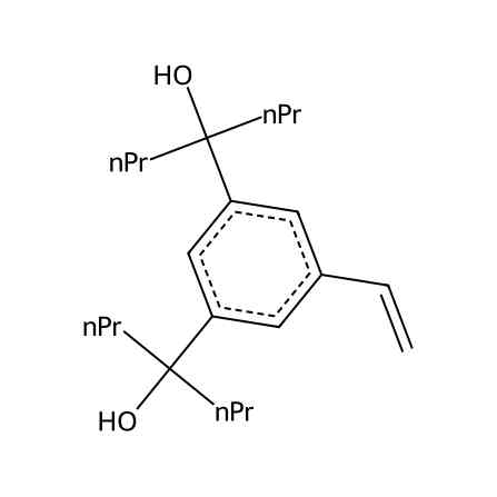 C=Cc1cc(C(O)(CCC)CCC)cc(C(O)(CCC)CCC)c1